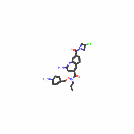 CCCN(OCc1ccc(N)cc1)C(=O)C1=Cc2ccc(C(=O)N3CC(Cl)C3)cc2N=C(N)C1